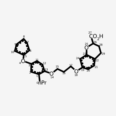 CCCc1cc(Oc2ccccc2)ccc1OCCCOc1ccc2c(c1)OC(C(=O)O)CC2